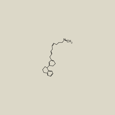 C=NCCC/C=C\C/C=C/CC1=CCCC(C2CCCc3ccccc32)=C1